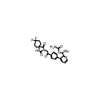 CC(C)(C)C(OC(N)=O)c1ncccc1-c1ccc(C(=O)CN2C(=O)NC3(CCC(F)(F)CC3)C2=O)cc1